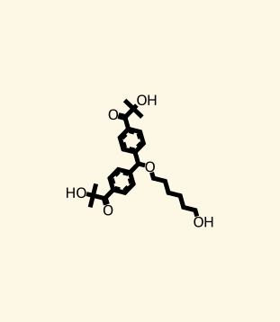 CC(C)(O)C(=O)c1ccc(C(OCCCCCCO)c2ccc(C(=O)C(C)(C)O)cc2)cc1